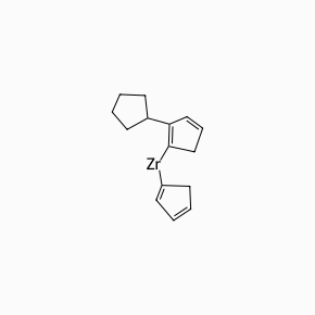 C1=CC[C]([Zr][C]2=C(C3CCCC3)C=CC2)=C1